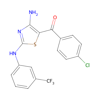 Nc1nc(Nc2cccc(C(F)(F)F)c2)sc1C(=O)c1ccc(Cl)cc1